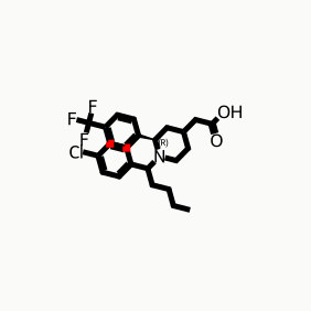 CCCCC(c1ccc(Cl)cc1)N1CCC(CC(=O)O)C[C@@H]1c1ccc(C(F)(F)F)cc1